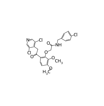 COc1ccc(C(=O)Cc2c(Cl)cncc2Cl)c(OCC(=O)NCc2ccc(Cl)cc2)c1OC